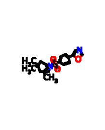 CC1(C)CC2CC(C)(CN2S(=O)(=O)c2ccc(-c3cnco3)cc2)C1